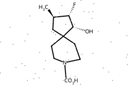 C[C@@H]1CC2(CCN(C(=O)O)CC2)[C@@H](O)[C@H]1F